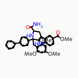 COC(=O)c1ccc2[nH]c3c(c2c1)CC(C(N)=O)NC3(Cc1c(OC)cc(OC)cc1OC)c1ccc(-c2ccccc2)cc1